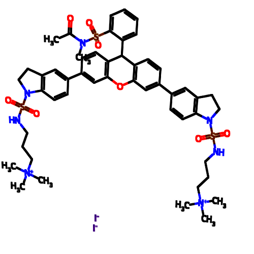 CC(=O)N(C)S(=O)(=O)c1ccccc1C1c2ccc(-c3ccc4c(c3)CCN4S(=O)(=O)NCCC[N+](C)(C)C)cc2Oc2cc(-c3ccc4c(c3)CCN4S(=O)(=O)NCCC[N+](C)(C)C)ccc21.[I-].[I-]